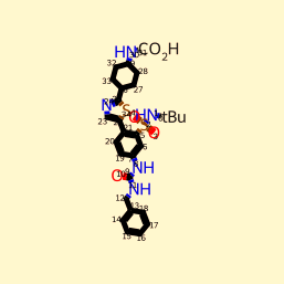 CC(C)(C)NS(=O)(=O)c1cc(NC(=O)NCc2ccccc2)ccc1-c1cnc(C2CCC(NC(=O)O)CC2)s1